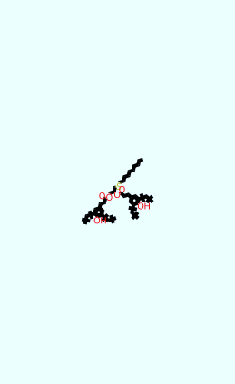 CCCCCCCCCCSCC(COC(=O)CCc1cc(C(C)(C)CC(C)(C)C)c(O)c(C(C)(C)CC(C)(C)C)c1)OC(=O)CCc1cc(C(C)(C)CC(C)(C)C)c(O)c(C(C)(C)CC(C)(C)C)c1